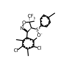 Cc1ccc([S@+]([O-])[C@H]2C(c3c(C)c(Cl)c(C)c(Cl)c3C)=NO[C@]2(C)C(F)(F)F)cc1